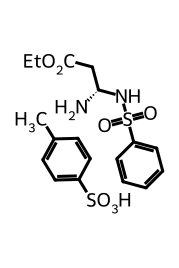 CCOC(=O)C[C@@H](N)NS(=O)(=O)c1ccccc1.Cc1ccc(S(=O)(=O)O)cc1